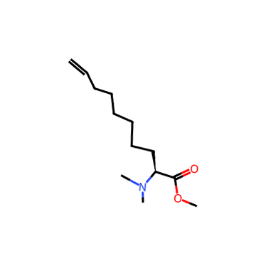 C=CCCCCCC[C@@H](C(=O)OC)N(C)C